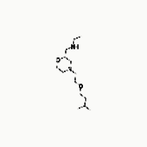 CCNCC1CN(CCOCCC(C)C)CCO1